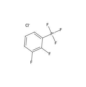 Fc1cccc([P+](F)(F)F)c1F.[Cl-]